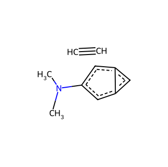 C#C.CN(C)c1cc2cc-2c1